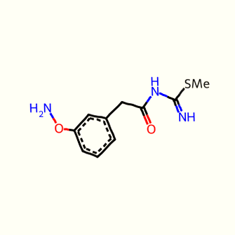 CSC(=N)NC(=O)Cc1cccc(ON)c1